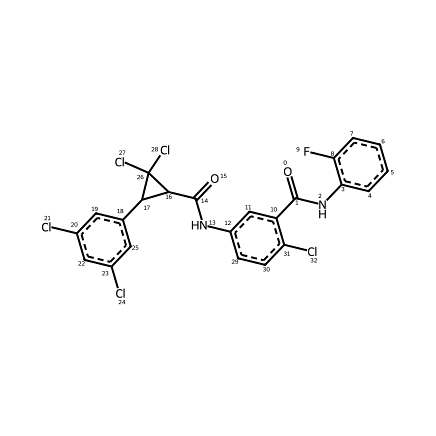 O=C(Nc1ccccc1F)c1cc(NC(=O)C2C(c3cc(Cl)cc(Cl)c3)C2(Cl)Cl)ccc1Cl